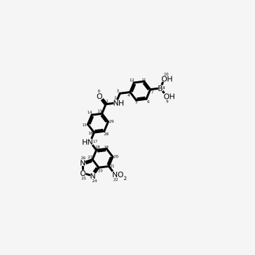 O=C(NCc1ccc(B(O)O)cc1)c1ccc(Nc2ccc([N+](=O)[O-])c3nonc23)cc1